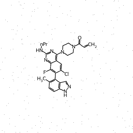 C=CC(=O)N1CCN(c2nc(NCCC)nc3c(F)c(-c4c(C)ccc5[nH]ncc45)c(Cl)cc23)CC1